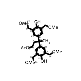 COCc1cc(C(C)(CCOC(C)=O)c2cc(COC)c(O)c(COC)c2)cc(COC)c1O